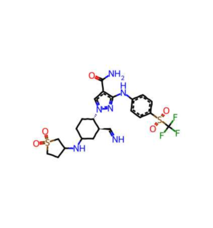 N=C[C@H]1CC(NC2CCS(=O)(=O)C2)CC[C@@H]1n1cc(C(N)=O)c(Nc2ccc(S(=O)(=O)C(F)(F)F)cc2)n1